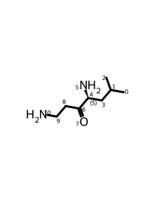 CC(C)C[C@H](N)C(=O)CCN